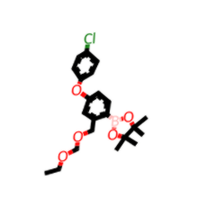 CCOCOCc1cc(Oc2ccc(Cl)cc2)ccc1B1OC(C)(C)C(C)(C)O1